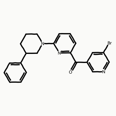 O=C(c1cncc(Br)c1)c1cccc(N2CCCC(c3ccccc3)C2)n1